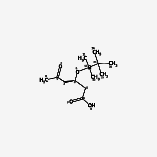 CC(=O)C[C@H](CC(=O)O)O[Si](C)(C)C(C)(C)C